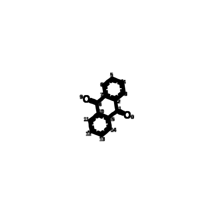 O=C1c2c[c]ccc2C(=O)c2c[c]ccc21